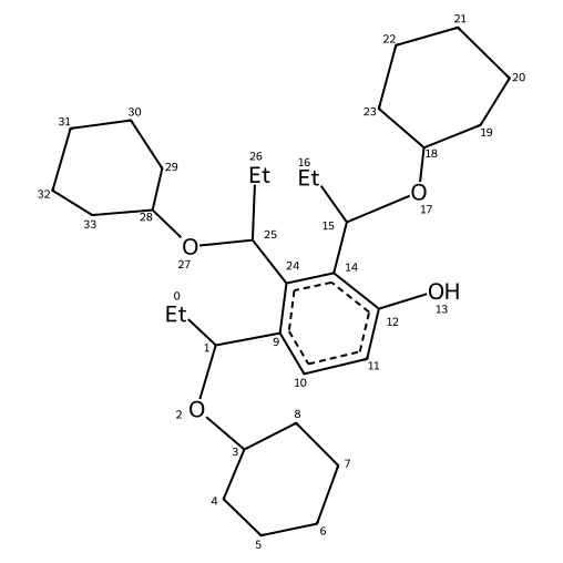 CCC(OC1CCCCC1)c1ccc(O)c(C(CC)OC2CCCCC2)c1C(CC)OC1CCCCC1